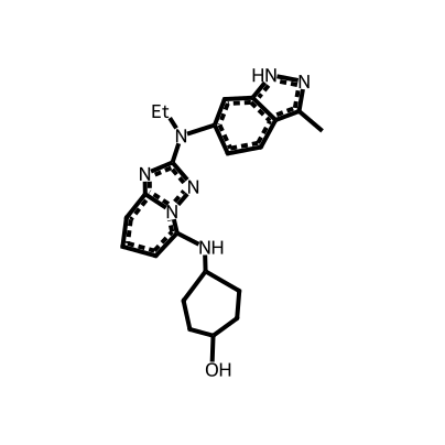 CCN(c1ccc2c(C)n[nH]c2c1)c1nc2cccc(NC3CCC(O)CC3)n2n1